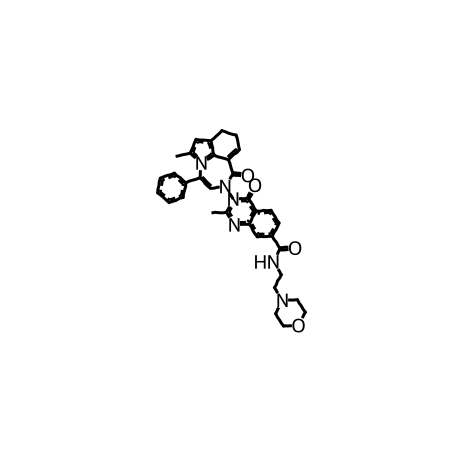 Cc1cc2c3n1C(c1ccccc1)=CN(n1c(C)nc4cc(C(=O)NCCN5CCOCC5)ccc4c1=O)C(=O)C3=CCC2